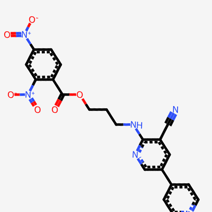 N#Cc1cc(-c2ccncc2)cnc1NCCCOC(=O)c1ccc([N+](=O)[O-])cc1[N+](=O)[O-]